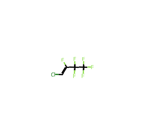 FC(=CCl)C(F)(F)C(F)(F)F